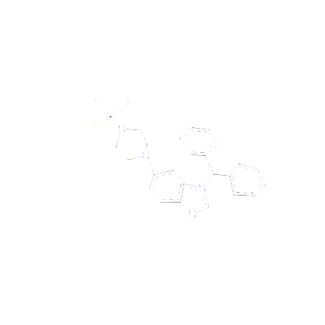 FC(F)(F)N1CCN(c2ccc3ncn(C(c4ccccc4)c4ccccc4)c3c2)CC1